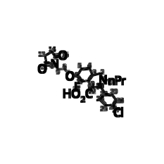 CCCN(Cc1ccc(OCCN2C(=O)CCC2=O)c(F)c1)[C@H](CC(=O)O)c1ccc(Cl)cc1